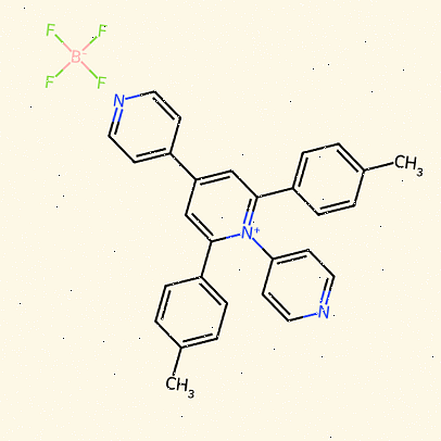 Cc1ccc(-c2cc(-c3ccncc3)cc(-c3ccc(C)cc3)[n+]2-c2ccncc2)cc1.F[B-](F)(F)F